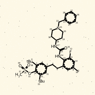 CC(C)(C)c1cc(CCc2cc(F)cc(F)c2NC(=O)NC2CCN(Cc3ccccc3)CC2)cc(C(C)(C)C)c1OS(C)(=O)=O